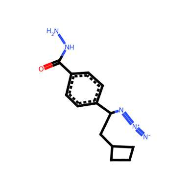 [N-]=[N+]=NC(CC1CCC1)c1ccc(C(=O)NN)cc1